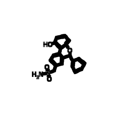 NS(=O)(=O)Cc1ccc2c(c1)C(c1ccccc1)Oc1cccc(O)c1-2